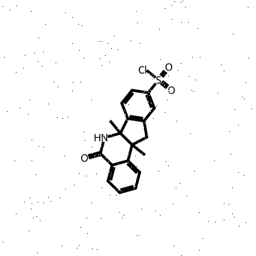 CC12Cc3cc(S(=O)(=O)Cl)ccc3C1(C)NC(=O)c1ccccc12